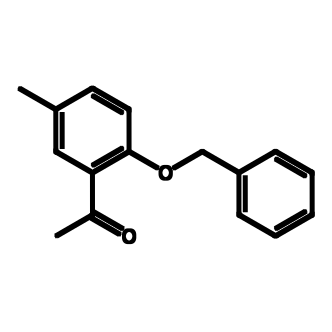 CC(=O)c1cc(C)ccc1OCc1ccccc1